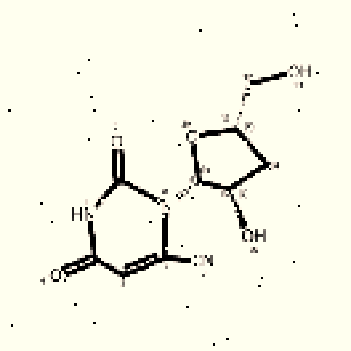 N#Cc1cc(=O)[nH]c(=O)n1[C@@H]1O[C@H](CO)C[C@H]1O